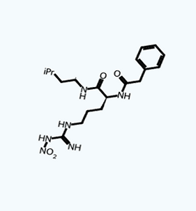 CC(C)C[CH]NC(=O)[C@H](CCCNC(=N)N[N+](=O)[O-])NC(=O)Cc1ccccc1